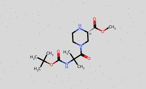 COC(=O)[C@@H]1CN(C(=O)C(C)(C)NC(=O)OC(C)(C)C)CCN1